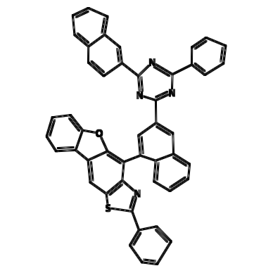 c1ccc(-c2nc(-c3ccc4ccccc4c3)nc(-c3cc(-c4c5nc(-c6ccccc6)sc5cc5c4oc4ccccc45)c4ccccc4c3)n2)cc1